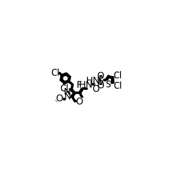 COCn1nc(Cc2ccc(Cl)cc2Cl)c2c1COCC2=C(F)CNC(=O)NS(=O)(=O)c1cc(Cl)c(Cl)s1